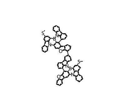 CSc1cc2c3c(c1)c1ccccc1n3-c1cc3c(oc4ccccc43)c3c1B2n1c2ccc(-c4cccc5c4oc4cc6c7c(c45)-c4cccc5c8ccccc8n(c45)B7c4cc(SC)cc5c7ccccc7n-6c45)cc2c2cccc-3c21